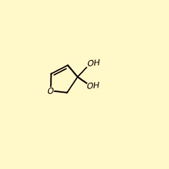 OC1(O)C=COC1